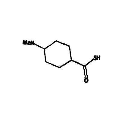 CNC1CCC(C(=O)S)CC1